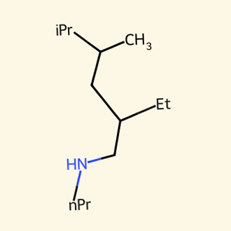 CCCNCC(CC)CC(C)C(C)C